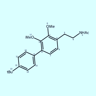 COc1c(CCNC(C)=O)ccc(-c2ccc(C(C)(C)C)cc2)c1OC